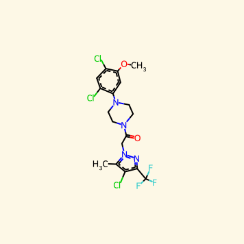 COc1cc(N2CCN(C(=O)Cn3nc(C(F)(F)F)c(Cl)c3C)CC2)c(Cl)cc1Cl